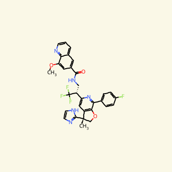 COc1cc(C(=O)NC[C@H](c2cc3c(c(-c4ccc(F)cc4)n2)OC[C@]3(C)c2ncc[nH]2)C(F)(F)F)cc2cccnc12